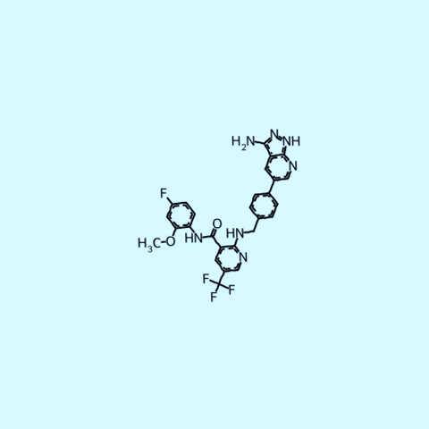 COc1cc(F)ccc1NC(=O)c1cc(C(F)(F)F)cnc1NCc1ccc(-c2cnc3[nH]nc(N)c3c2)cc1